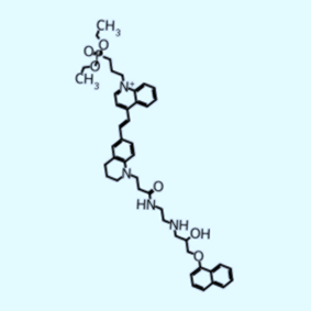 CCOP(=O)(CCC[n+]1ccc(C=Cc2ccc3c(c2)CCCN3CCC(=O)NCCNCC(O)COc2cccc3ccccc23)c2ccccc21)OCC